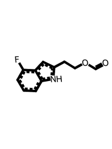 O=COCCc1cc2c(F)cccc2[nH]1